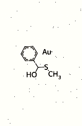 CSC(O)c1ccccc1.[Au]